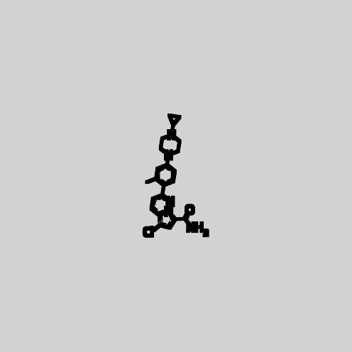 Cc1cc(N2CCN(C3CC3)CC2)ccc1-c1ccc2c(Cl)cc(C(N)=O)n2n1